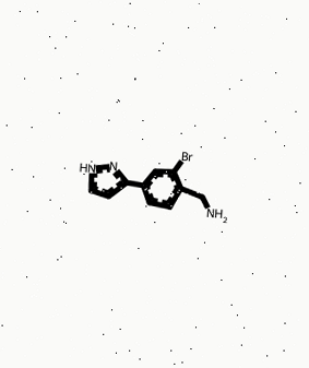 NCc1ccc(-c2cc[nH]n2)cc1Br